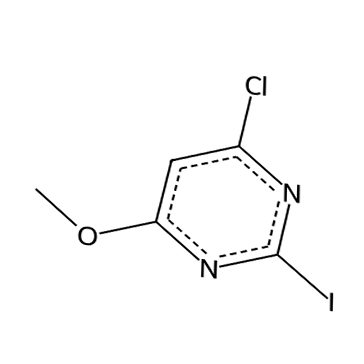 COc1cc(Cl)nc(I)n1